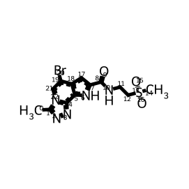 Cc1nnc2c3[nH]c(C(=O)NCCS(C)(=O)=O)cc3c(Br)cn12